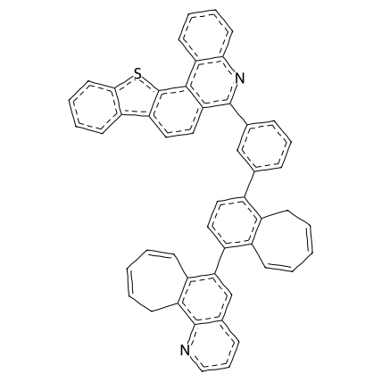 C1=CCc2c(-c3cccc(-c4nc5ccccc5c5c4ccc4c6ccccc6sc45)c3)ccc(-c3cc4cccnc4c4c3C=CC=CC4)c2C=C1